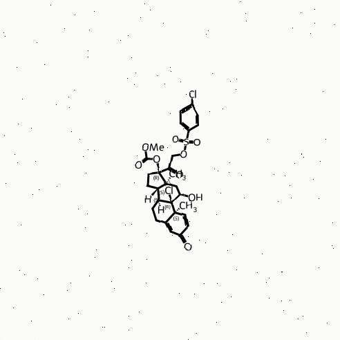 COC(=O)O[C@]1(C(=O)COS(=O)(=O)c2ccc(Cl)cc2)CC[C@H]2[C@@H]3CCC4=CC(=O)C=C[C@]4(C)[C@@]3(Cl)C(O)C[C@@]21C